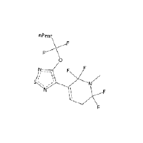 CCCCCC(F)(F)Oc1nsnc1C1=CCC(F)(F)N(C)C1(F)F